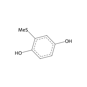 CSc1cc(O)ccc1O